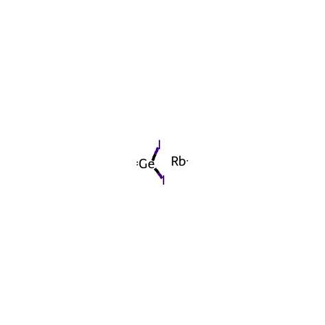 [I][Ge][I].[Rb]